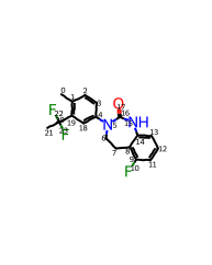 Cc1ccc(N2CCc3c(F)cccc3NC2=O)cc1C(C)(F)F